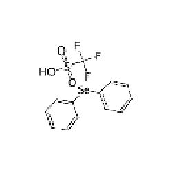 O=S(=O)(O)C(F)(F)F.c1ccc([Se]c2ccccc2)cc1